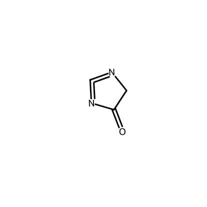 O=C1CN=C=N1